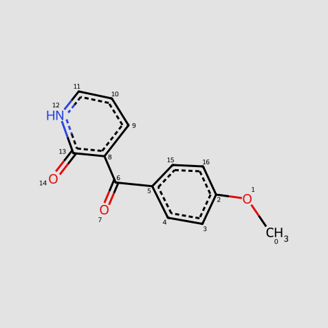 COc1ccc(C(=O)c2ccc[nH]c2=O)cc1